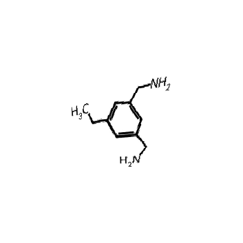 CCc1cc(CN)cc(CN)c1